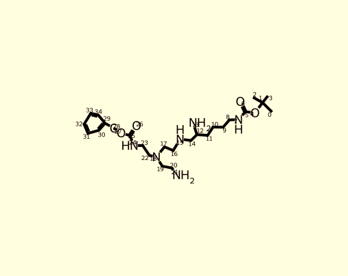 CC(C)(C)OC(=O)NCCCCC(N)CNCCN(CCN)CCNC(=O)OCc1ccccc1